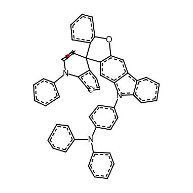 c1ccc(N(c2ccccc2)c2ccc(-n3c4ccccc4c4cc5c(cc43)C3(c4ccccc4O5)c4ccccc4N(c4ccccc4)c4ccccc43)cc2)cc1